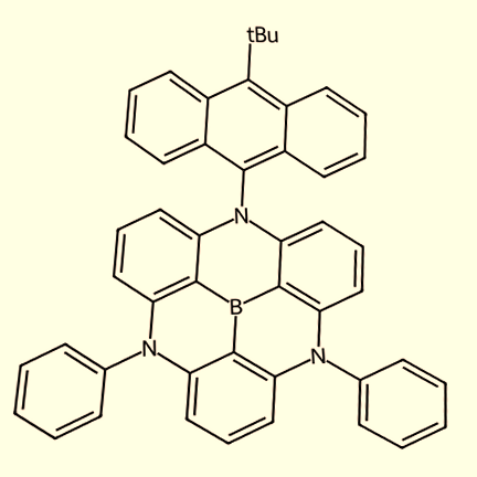 CC(C)(C)c1c2ccccc2c(N2c3cccc4c3B3c5c(cccc5N(c5ccccc5)c5cccc2c53)N4c2ccccc2)c2ccccc12